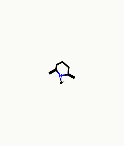 C=C1CCCC(=C)N1C(C)C